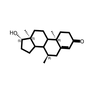 C[C@@H]1CC2=CC(=O)CC[C@]2(C)C2CC[C@@]3(C)C(CC[C@@H]3O)C21